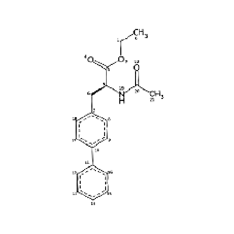 CCOC(=O)[C@H](Cc1ccc(-c2ccccc2)cc1)NC(C)=O